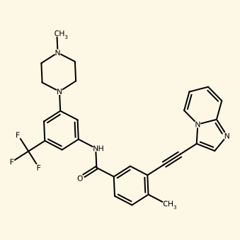 Cc1ccc(C(=O)Nc2cc(N3CCN(C)CC3)cc(C(F)(F)F)c2)cc1C#Cc1cnc2ccccn12